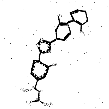 CC1=C(C2=C(C(F)(F)F)CC(c3nc(-c4ccc([C@@H](C)N[C@H](C)C(=O)O)cc4O)no3)C=C2)C=CCC1